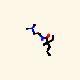 CCCC(C)(CC)C(=O)NCCN(C)C